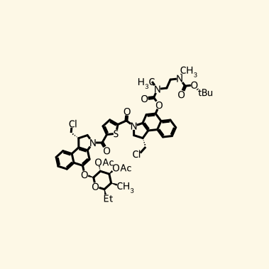 CC[C@H]1O[C@@H](Oc2cc3c(c4ccccc24)[C@H](CCl)CN3C(=O)c2ccc(C(=O)N3C[C@@H](CCl)c4c3cc(OC(=O)N(C)CCN(C)C(=O)OC(C)(C)C)c3ccccc43)s2)[C@H](OC(C)=O)[C@@H](OC(C)=O)[C@H]1C